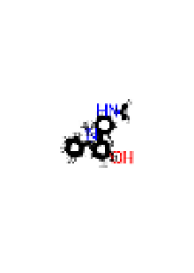 CC(C)NC1CCC(c2cccc(O)c2)(N(C)Cc2ccccc2)CC1